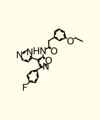 CCOc1cccc(CC(=O)Nc2onc(-c3ccc(F)cc3)c2-c2ccncn2)c1